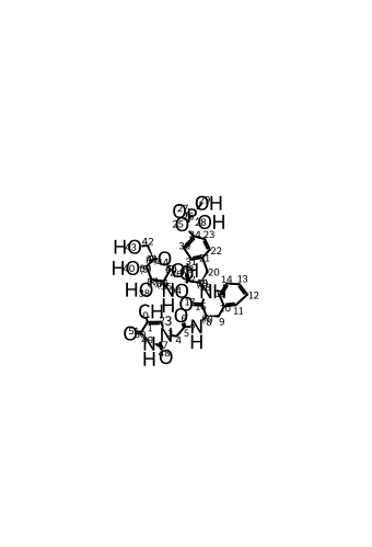 Cc1cn(CC(=O)N[C@H](Cc2ccccc2)C(=O)N[C@H](Cc2ccc(OP(=O)(O)O)cc2)C(=O)ON[C@@H]2[C@@H](O)[C@H](O)[C@@H](CO)O[C@H]2O)c(=O)[nH]c1=O